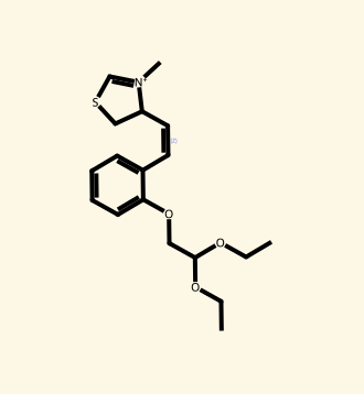 CCOC(COc1ccccc1/C=C\C1CSC=[N+]1C)OCC